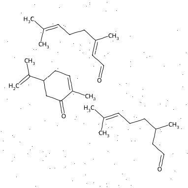 C=C(C)C1CC=C(C)C(=O)C1.CC(C)=CCCC(C)=CC=O.CC(C)=CCCC(C)CC=O